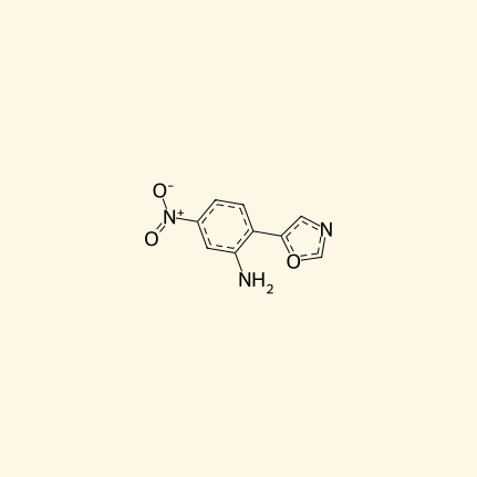 Nc1cc([N+](=O)[O-])ccc1-c1cnco1